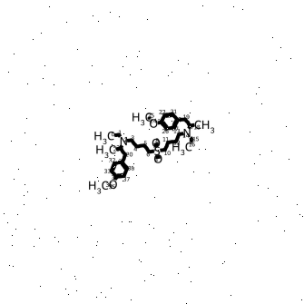 CCN(CCCCS(=O)(=O)CCCCN(CC)C(C)Cc1ccc(OC)cc1)C(C)Cc1ccc(OC)cc1